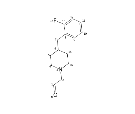 O=CCN1CCC(Cc2ccccc2F)CC1